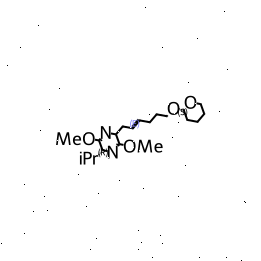 COC1=N[C@H](C(C)C)C(OC)=NC1C/C=C/CCCO[C@H]1CCCCO1